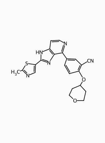 Cc1ncc(-c2nc3c(-c4ccc(OC5CCOCC5)c(C#N)c4)nccc3[nH]2)s1